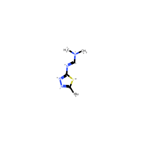 CN(C)C=Nc1nnc(C(C)(C)C)s1